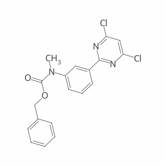 CN(C(=O)OCc1ccccc1)c1cccc(-c2nc(Cl)cc(Cl)n2)c1